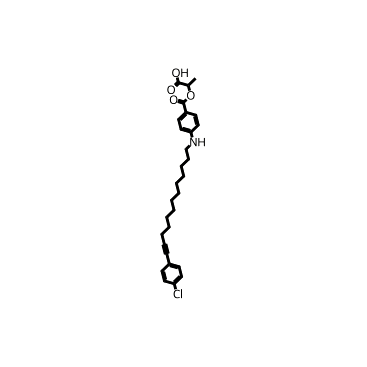 CC(OC(=O)c1ccc(NCCCCCCCCCCCC#Cc2ccc(Cl)cc2)cc1)C(=O)O